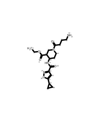 CCOC(=O)C1CN(C(=O)CCCN)CCC1NC(=O)c1cc(C2CC2)on1